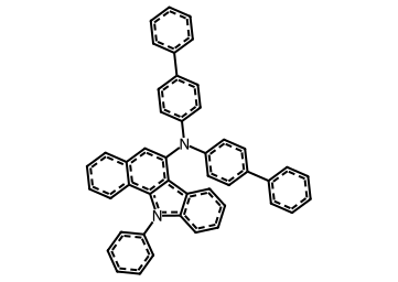 c1ccc(-c2ccc(N(c3ccc(-c4ccccc4)cc3)c3cc4ccccc4c4c3c3ccccc3n4-c3ccccc3)cc2)cc1